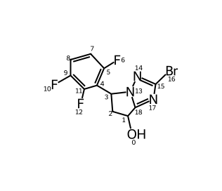 OC1CC(c2c(F)ccc(F)c2F)n2nc(Br)nc21